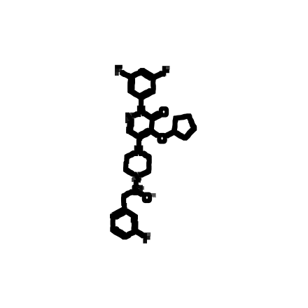 O=c1c(OC2CCCC2)c(N2CCN([S+]([O-])Cc3cccc(F)c3)CC2)cnn1-c1cc(F)cc(F)c1